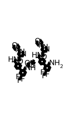 C[C@@H](NC(=O)c1cnnc(N2CCOCC2)c1)c1ccc(-c2cc(C(F)(F)F)ccc2CN)cc1.C[C@@H](NC(=O)c1cnnc(N2CCOCC2)c1)c1ccc(-c2cc(C(F)(F)F)ccc2CNC(=O)OC(C)(C)C)cc1